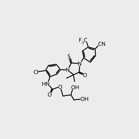 CC1(C)C(=O)N(c2ccc(C#N)c(C(F)(F)F)c2)C(=S)N1c1ccc(Cl)c(NC(=O)OCC(O)CO)c1